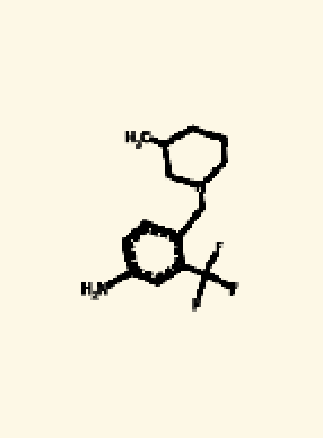 CC1CCCN(Cc2ccc(N)cc2C(F)(F)F)C1